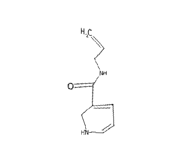 C=CCNC(=O)C1=CC=CNC1